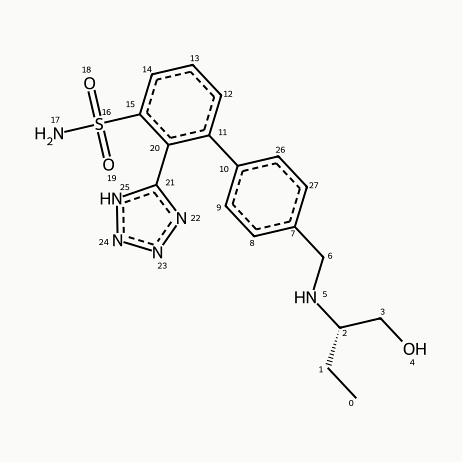 CC[C@@H](CO)NCc1ccc(-c2cccc(S(N)(=O)=O)c2-c2nnn[nH]2)cc1